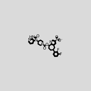 O=C(OC1CCC(c2cccc(F)c2F)Cc2cc([N+](=O)[O-])cnc21)N1CCC(n2c(=O)[nH]c3ncccc32)CC1